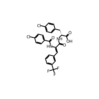 O=C(N[C@H](Cc1ccc(Cl)cc1)C(=O)O)C(=Cc1cccc(C(F)(F)F)c1)NC(=O)c1ccc(Cl)cc1